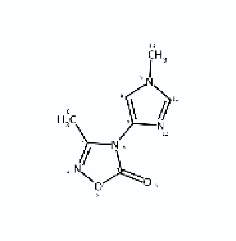 Cc1noc(=O)n1-c1cn(C)cn1